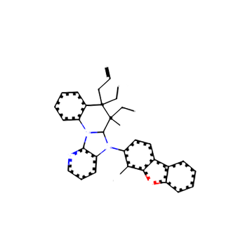 C=CCC1(CC)c2ccccc2N2c3ncccc3N(c3ccc4c(oc5ccccc54)c3C)C2C1(C)CC